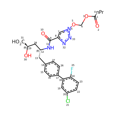 CCCC(=O)OCOn1cc(C(=O)N[C@H](Cc2ccc(-c3cc(Cl)ccc3F)cc2)C[C@@H](O)C(=O)O)nn1